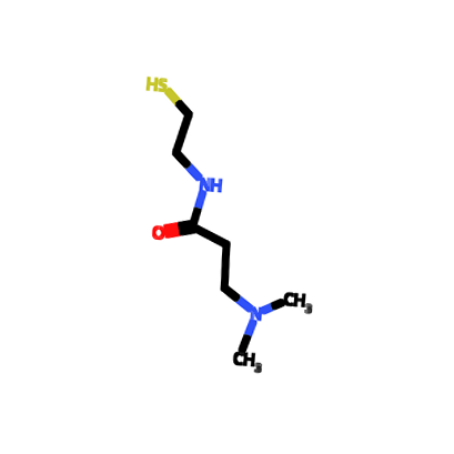 CN(C)CCC(=O)NCCS